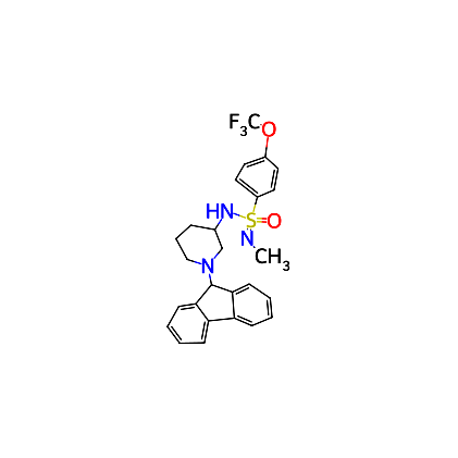 CN=S(=O)(NC1CCCN(C2c3ccccc3-c3ccccc32)C1)c1ccc(OC(F)(F)F)cc1